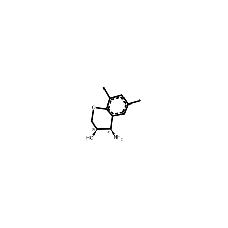 Cc1cc(F)cc2c1OC[C@H](O)[C@@H]2N